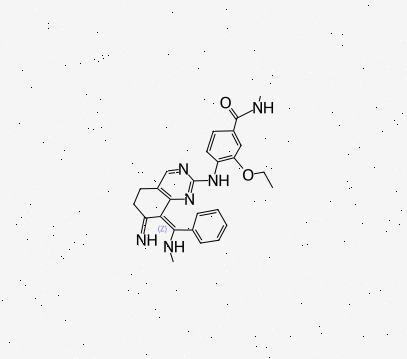 CCOc1cc(C(=O)NC)ccc1Nc1ncc2c(n1)/C(=C(/NC)c1ccccc1)C(=N)CC2